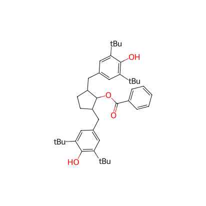 CC(C)(C)c1cc(CC2CCC(Cc3cc(C(C)(C)C)c(O)c(C(C)(C)C)c3)C2OC(=O)c2ccccc2)cc(C(C)(C)C)c1O